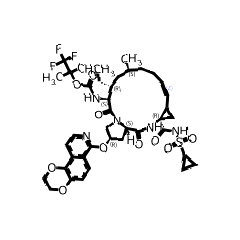 CC[C@@H]1C[C@@H](C)CC/C=C\C2C[C@@]2(C(=O)NS(=O)(=O)C2CC2)NC(=O)[C@@H]2C[C@@H](Oc3nccc4c5c(ccc34)OCCO5)CN2C(=O)[C@H]1NC(=O)OC(C)(C)C(F)(F)F